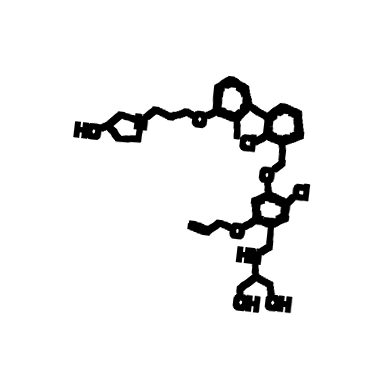 C=CCOc1cc(OCc2cccc(-c3cccc(OCCCN4CCC(O)C4)c3C)c2Cl)c(Cl)cc1CNC(CO)CO